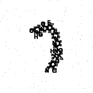 CC1(C)C(NC(=O)c2ccc(N3CCN(Cc4cc(F)c5c(c4)CN(C4CCC(=O)NC4=O)C5=O)CC3)nn2)C(C)(C)C1Oc1ccc(C#N)c(Cl)c1